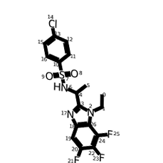 CCn1c(C(C)NS(=O)(=O)c2ccc(Cl)cc2)nc2cc(F)c(F)c(F)c21